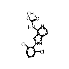 COC(=O)Nc1nccc2nn(-c3c(Cl)cccc3Cl)cc12